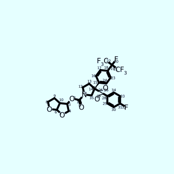 O=C(OC1COC2OCCC12)N1CC[C@](c2ccc(C(F)(C(F)(F)F)C(F)(F)F)cc2)(S(=O)(=O)c2ccc(F)cc2)C1